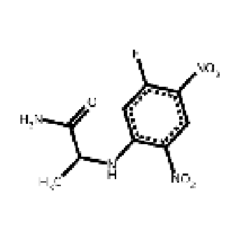 CC(Nc1cc(F)c([N+](=O)[O-])cc1[N+](=O)[O-])C(N)=O